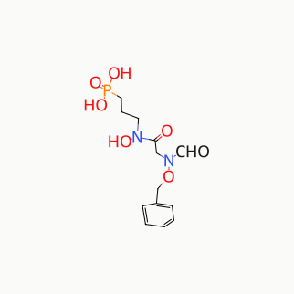 O=CN(CC(=O)N(O)CCCP(=O)(O)O)OCc1ccccc1